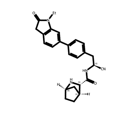 CCN1C(=O)Cc2ccc(-c3ccc(C[C@@H](C#N)NC(=O)[C@H]4N[C@@H]5CC[C@H]4C5)cc3)cc21